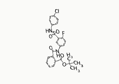 CC(C)(C)OC(=O)c1ccccc1C(=O)Nc1ccc(F)c(S(=O)(=O)Nc2ccc(Cl)cc2)c1